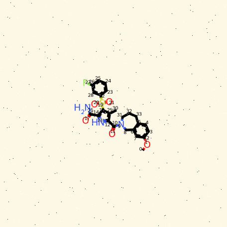 COc1ccc2c(c1)CN(C(=O)c1[nH]c(C(N)=O)c(S(=O)(=O)c3cccc(F)c3)c1C)CCC2